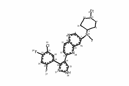 CCN1CCC(N(C)c2cnc3ccc(-c4c[nH]nc4-c4cc(Cl)c(F)cc4F)nc3c2)CC1